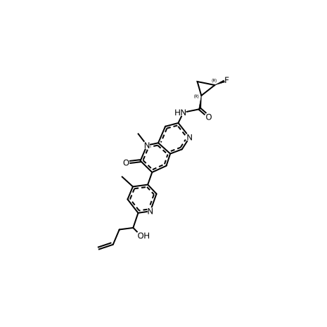 C=CCC(O)c1cc(C)c(-c2cc3cnc(NC(=O)[C@H]4C[C@H]4F)cc3n(C)c2=O)cn1